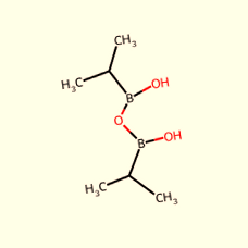 CC(C)B(O)OB(O)C(C)C